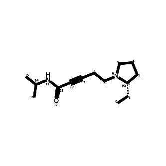 CC[C@H]1CCCN1CCC#CC(=O)NC(C)C